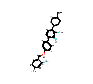 CCCC1CCC(c2ccc(-c3ccc(OCC4=CC[C@H](CC)C=C4F)cc3)c(F)c2F)CC1